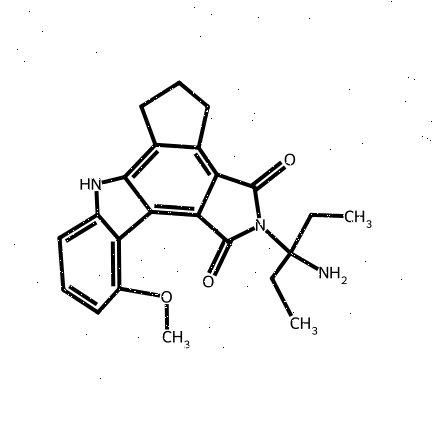 CCC(N)(CC)N1C(=O)c2c3c(c4[nH]c5cccc(OC)c5c4c2C1=O)CCC3